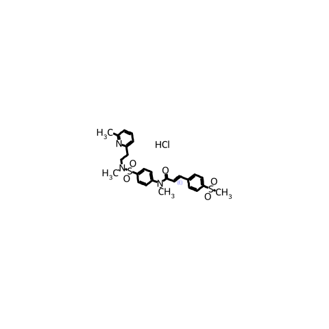 Cc1cccc(CCN(C)S(=O)(=O)c2ccc(N(C)C(=O)/C=C/c3ccc(S(C)(=O)=O)cc3)cc2)n1.Cl